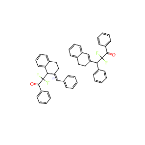 O=C(c1ccccc1)C(F)(F)C(C1=Cc2ccccc2CC1)c1ccccc1.O=C(c1ccccc1)C(F)(F)C1/C(=C/c2ccccc2)CCc2ccccc21